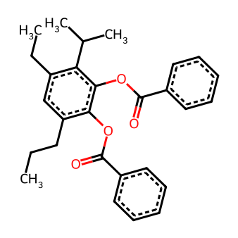 CCCc1cc(CC)c(C(C)C)c(OC(=O)c2ccccc2)c1OC(=O)c1ccccc1